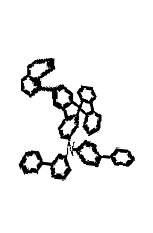 c1ccc(-c2ccc(N(c3cccc(-c4ccccc4)c3)c3ccc4c(c3)C3(c5ccccc5-c5ccccc53)c3ccc(-c5cccc6ccccc56)cc3-4)cc2)cc1